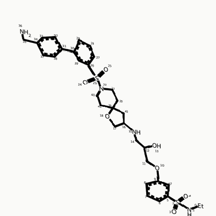 CCNS(=O)(=O)c1cccc(OCC(O)CNC2COC3(CCN(S(=O)(=O)c4cccc(-c5ccc(CN)cc5)c4)CC3)C2)c1